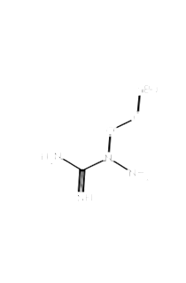 CCCCOON(N)C(=N)N